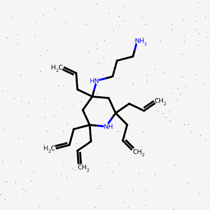 C=CCC1(NCCCN)CC(CC=C)(CC=C)NC(CC=C)(CC=C)C1